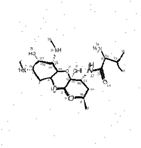 CN[C@H]1CC2OC3O[C@H](C)C[C@@H](NC(=O)[C@@H](N)C(C)C)[C@]3(O)OC2[C@@H](NC)[C@H]1O